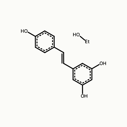 CCO.Oc1ccc(C=Cc2cc(O)cc(O)c2)cc1